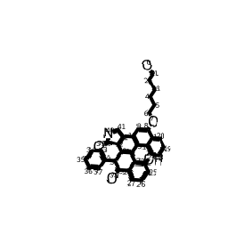 O=CCCCCCOc1cc2c3c(c4c(c2c2ccccc12)-c1c(O)cccc1C(=O)C4c1ccccc1)C(=O)N=C3